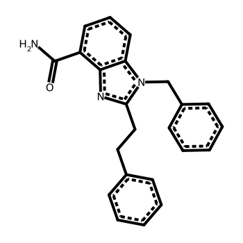 NC(=O)c1cccc2c1nc(CCc1ccccc1)n2Cc1ccccc1